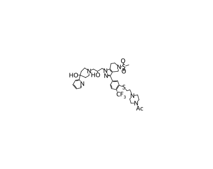 CC(=O)N1CCN(CCSc2cc(-c3nn(CC(O)CN4CCC(O)(c5ccccn5)CC4)c4c3CN(S(C)(=O)=O)CC4)ccc2C(F)(F)F)CC1